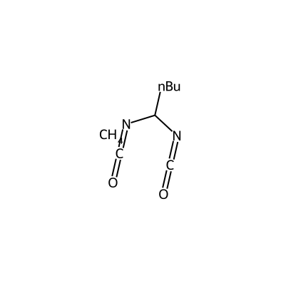 C.CCCCC(N=C=O)N=C=O